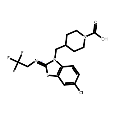 O=C(O)N1CCC(Cn2/c(=N/CC(F)(F)F)sc3cc(Cl)ccc32)CC1